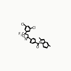 Cc1ccc2c(c1)cc(C)n2C(=O)c1ccc(C2=NOC(c3cc(Cl)cc(Cl)c3)(C(F)(F)F)C2)cc1